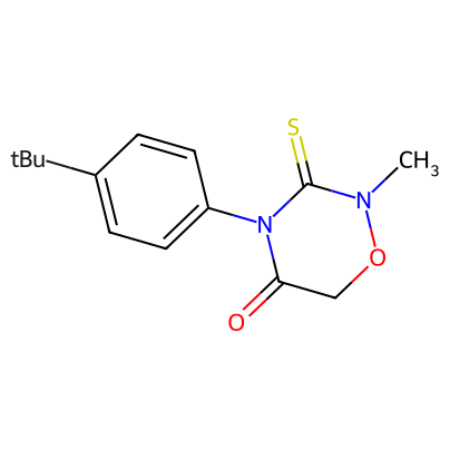 CN1OCC(=O)N(c2ccc(C(C)(C)C)cc2)C1=S